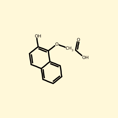 COc1c(O)ccc2ccccc12.O=CO